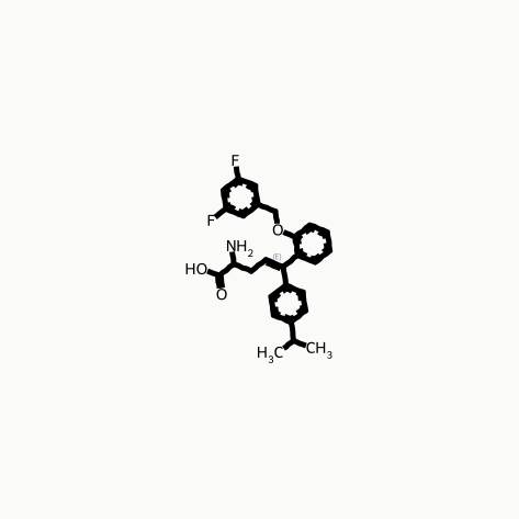 CC(C)c1ccc(/C(=C\CC(N)C(=O)O)c2ccccc2OCc2cc(F)cc(F)c2)cc1